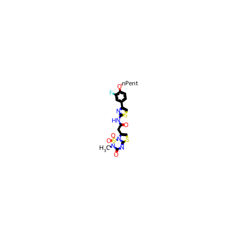 CCCCCOc1ccc(-c2csc(NC(=O)CC3=CSC4=NC(=O)N(C)S(=O)(=O)N34)n2)cc1F